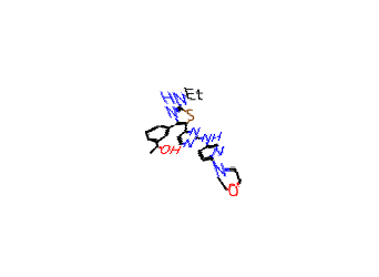 CCNc1nc(-c2cccc(C(C)O)c2)c(-c2ccnc(Nc3ccc(N4CCOCC4)nc3)n2)s1